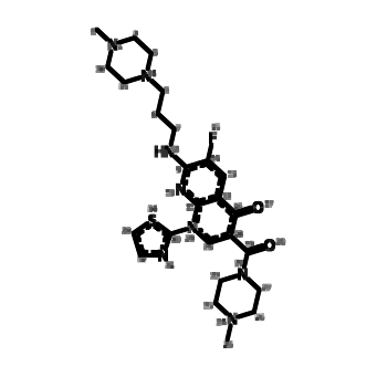 CN1CCN(CCCNc2nc3c(cc2F)c(=O)c(C(=O)N2CCN(C)CC2)cn3-c2nccs2)CC1